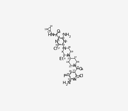 CC[C@H]1CN(c2nc(N)c(C(=O)NC3CC3)nc2Cl)CCN1C1CCN(C(=O)c2cc(F)c(N)nc2Cl)CC1